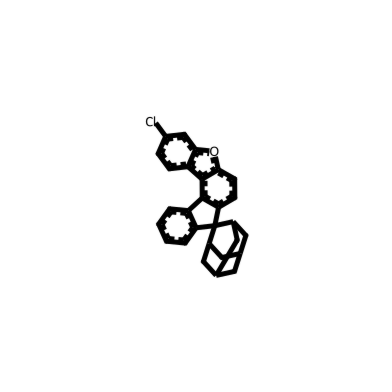 Clc1ccc2c(c1)oc1ccc3c(c12)-c1ccccc1C31C2CC3CC(C2)CC1C3